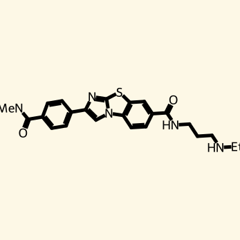 CCNCCCNC(=O)c1ccc2c(c1)sc1nc(-c3ccc(C(=O)NC)cc3)cn12